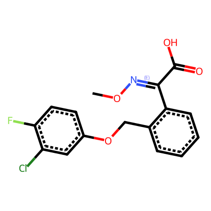 CO/N=C(/C(=O)O)c1ccccc1COc1ccc(F)c(Cl)c1